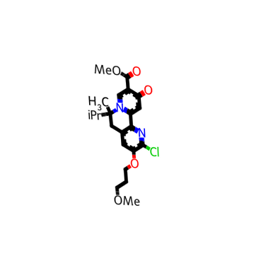 COCCCOc1cc2c(nc1Cl)-c1cc(=O)c(C(=O)OC)cn1C(C)(C(C)C)C2